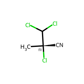 C[C@](Cl)(C#N)C(Cl)Cl